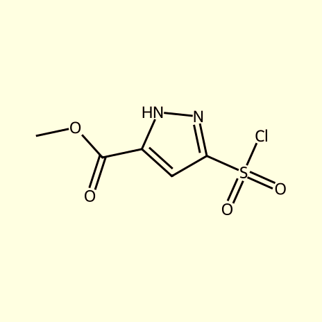 COC(=O)c1cc(S(=O)(=O)Cl)n[nH]1